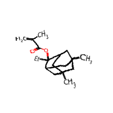 C=C(C)C(=O)OC1(CC)C2CC3(C)CC1CC(C)(C2)C3